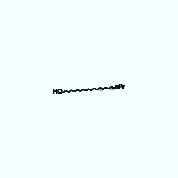 CCC/C=C/CC/C=C/CCCCCCCCCCCCCO